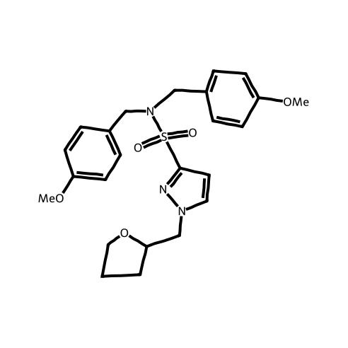 COc1ccc(CN(Cc2ccc(OC)cc2)S(=O)(=O)c2ccn(CC3CCCO3)n2)cc1